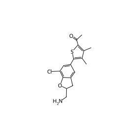 CC(=O)c1sc(-c2cc(Cl)c3c(c2)CC(CN)O3)c(C)c1C